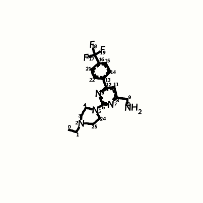 CCN1CCN(c2nc(CN)cc(-c3ccc(C(F)(F)F)cc3)n2)CC1